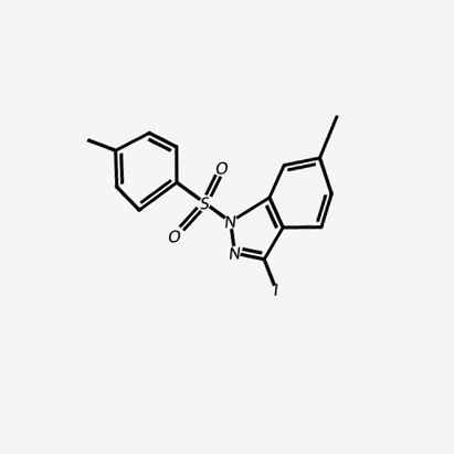 Cc1ccc(S(=O)(=O)n2nc(I)c3ccc(C)cc32)cc1